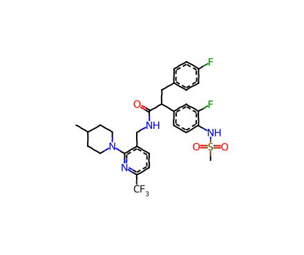 CC1CCN(c2nc(C(F)(F)F)ccc2CNC(=O)C(Cc2ccc(F)cc2)c2ccc(NS(C)(=O)=O)c(F)c2)CC1